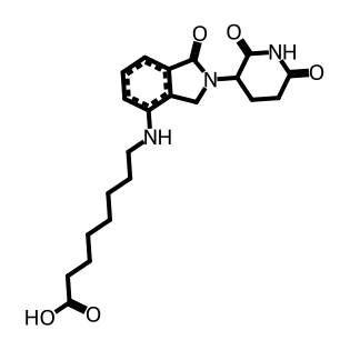 O=C(O)CCCCCCCNc1cccc2c1CN(C1CCC(=O)NC1=O)C2=O